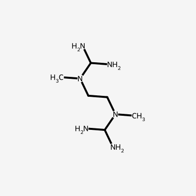 CN(CCN(C)C(N)N)C(N)N